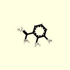 C=C(N)c1cccc(O)c1C